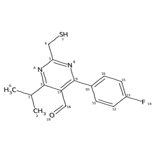 CC(C)c1nc(CS)nc(-c2ccc(F)cc2)c1C=O